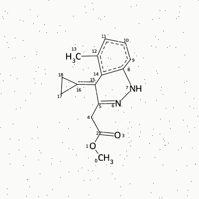 COC(=O)CC1=NNc2cccc(C)c2C1=C1CC1